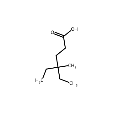 CCC(C)(CC)CCC(=O)O